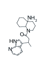 CC(CC(=O)N1CCCC2(N)CCCCC12)c1c[nH]c2ncccc12